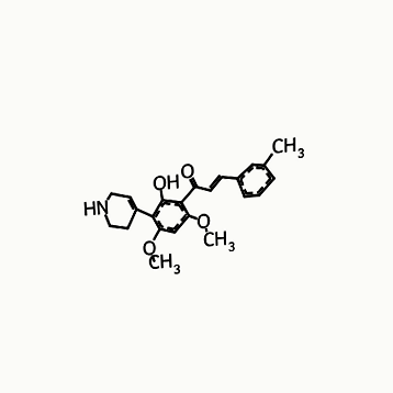 COc1cc(OC)c(C2=CCNCC2)c(O)c1C(=O)/C=C/c1cccc(C)c1